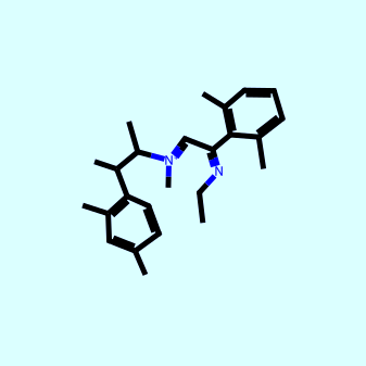 CC/N=C(\C=[N+](/C)C(C)C(C)c1ccc(C)cc1C)c1c(C)cccc1C